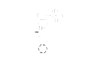 CC(C)(C)[Si](C)(C)OC1CCN(C(=O)OCc2ccccc2)CC1F